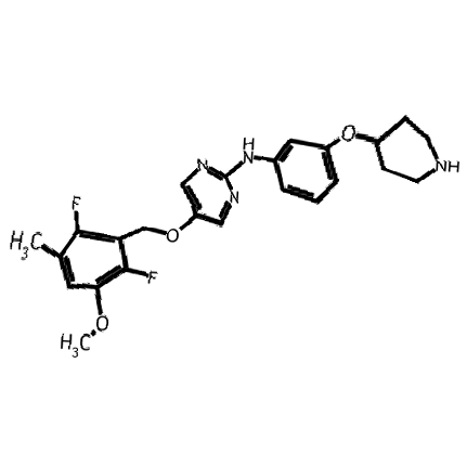 COc1cc(C)c(F)c(COc2cnc(Nc3cccc(OC4CCNCC4)c3)nc2)c1F